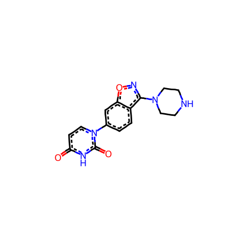 O=c1ccn(-c2ccc3c(N4CCNCC4)noc3c2)c(=O)[nH]1